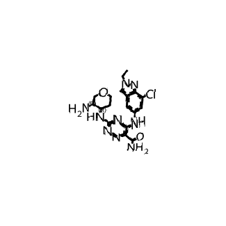 CCn1cc2cc(Nc3nc(N[C@@H]4CCOC[C@@H]4N)nnc3C(N)=O)cc(Cl)c2n1